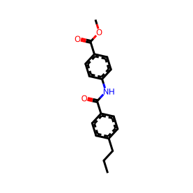 CCCc1ccc(C(=O)Nc2ccc(C(=O)OC)cc2)cc1